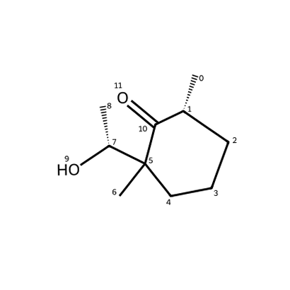 C[C@@H]1CCCC(C)([C@@H](C)O)C1=O